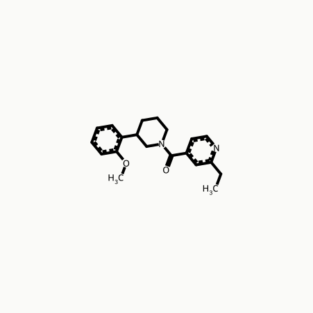 CCc1cc(C(=O)N2CCCC(c3ccccc3OC)C2)ccn1